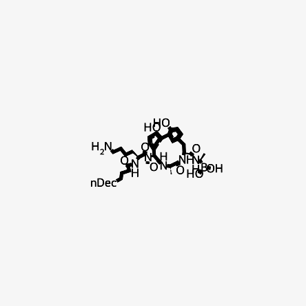 CCCCCCCCCCCCCC(=O)N[C@@H](CCCCN)C(=O)N(C)[C@@H]1C(=O)N[C@@H](C)C(=O)N[C@H](C(=O)N[C@@H](C)B(O)O)Cc2ccc(O)c(c2)-c2cc1ccc2O